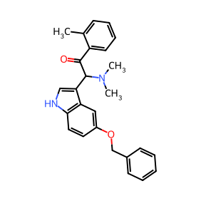 Cc1ccccc1C(=O)C(c1c[nH]c2ccc(OCc3ccccc3)cc12)N(C)C